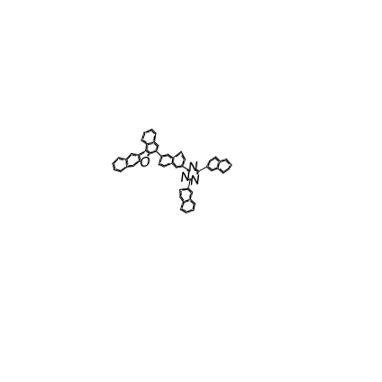 c1ccc2cc(-c3nc(-c4ccc5ccccc5c4)nc(-c4ccc5cc(-c6cc7ccccc7c7c6oc6cc8ccccc8cc67)ccc5c4)n3)ccc2c1